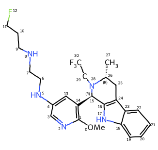 COc1ncc(NCCNCCCF)cc1[C@@H]1c2[nH]c3ccccc3c2C[C@@H](C)N1CC(F)(F)F